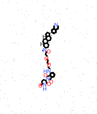 CN(C(=O)CCOCCOCCNc1cccc2c1C(=O)N(C1CCC(=O)NC1=O)C2=O)[C@H]1CC[C@]2(C)C3CC[C@]4(C)[C@@H](c5ccc6ccncc6c5)CC[C@H]4C3CC[C@H]2C1